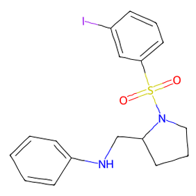 O=S(=O)(c1cccc(I)c1)N1CCCC1CNc1ccccc1